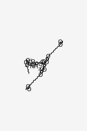 C=CC(=O)OCCCCCCCCCCCCOc1ccc(OC(=O)c2ccc(C(=O)Oc3ccc(OCCCCCCCCCCCCOC(=O)C=C)cc3)c(C(=O)OCc3ccc(OC(=O)c4cc([N+](=O)[O-])c(O[C@@H](C)CCCCCC)cc4N)cc3)c2)cc1